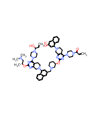 C=CC(=O)N1CCN(c2nc(O[C@@H]3CCCN(Cc4cc(N5CCc6c(nc(O[C@H](C)CN(C)C)nc6N6CCN(C(O)C=C)CC6)C5)c5ccccc5c4)C3)nc3c2CCN(c2cc(O)cc4ccccc24)C3)CC1